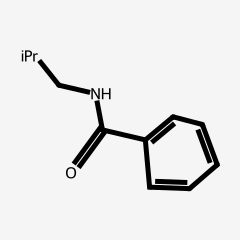 CC(C)CNC(=O)c1ccccc1